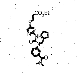 CCOC(=O)CCSc1cnc(NC(=O)N(CC2CCCC2)c2cccc(C(=O)N(C)C)c2)s1